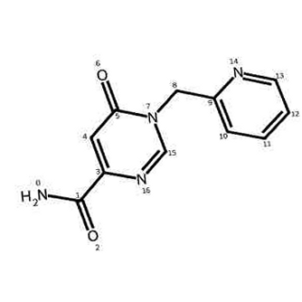 NC(=O)c1cc(=O)n(Cc2ccccn2)cn1